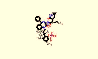 Cc1cc(C)c(C(C)(C)C(CN2C(=O)[C@@H](NC(=O)[C@H](CCC(F)(F)F)[C@H](CC3CC3)C(N)=O)N=C(c3ccccc3)c3cccc(F)c32)C(=O)O)c(OP(=O)(O)O)c1